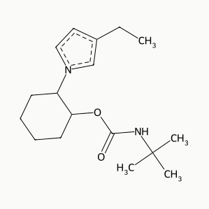 CCc1ccn(C2CCCCC2OC(=O)NC(C)(C)C)c1